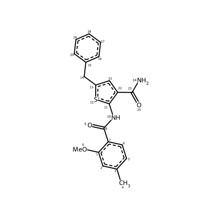 COc1cc(C)ccc1C(=O)Nc1sc(Cc2ccccc2)cc1C(N)=O